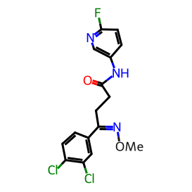 CON=C(CCC(=O)Nc1ccc(F)nc1)c1ccc(Cl)c(Cl)c1